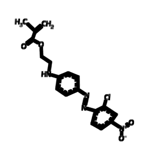 C=C(C)C(=O)OCCNc1ccc(N=Nc2ccc([N+](=O)[O-])cc2Cl)cc1